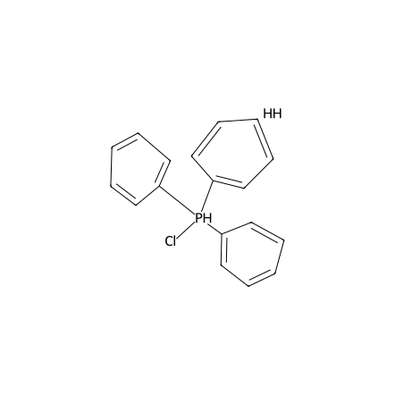 Cl[PH](c1ccccc1)(c1ccccc1)c1ccccc1.[HH]